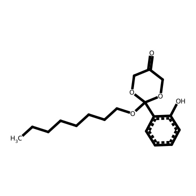 CCCCCCCCOC1(c2ccccc2O)OCC(=O)CO1